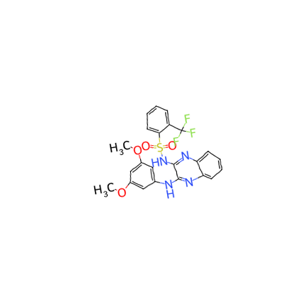 COc1cc(Nc2nc3ccccc3nc2NS(=O)(=O)c2ccccc2C(F)(F)F)cc(OC)c1